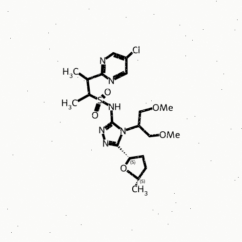 COCC(COC)n1c(NS(=O)(=O)C(C)C(C)c2ncc(Cl)cn2)nnc1[C@@H]1CC[C@H](C)O1